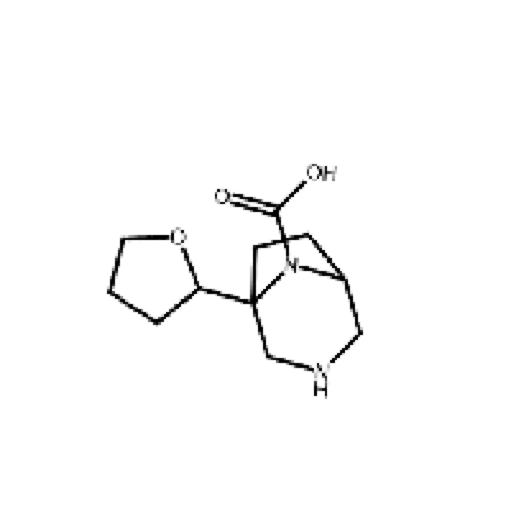 O=C(O)N1C2CCC1(C1CCCO1)CNC2